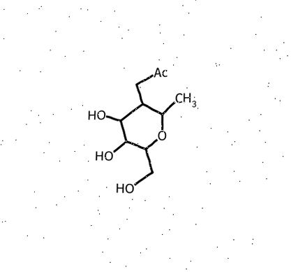 CC(=O)CC1C(C)OC(CO)C(O)C1O